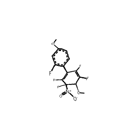 COc1ccc(C2=C(F)C(F)([N+](=O)[O-])C(OC)C(F)=C2F)c(F)c1